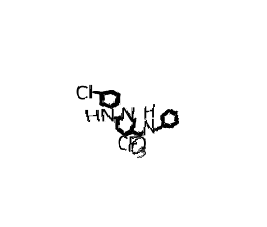 O=C(NCc1ccccc1)c1cnc(Nc2cccc(Cl)c2)cc1C(F)(F)F